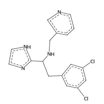 Clc1cc(Cl)cc(CC(NCc2cccnc2)c2ncc[nH]2)c1